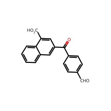 O=Cc1ccc(C(=O)c2cc(C(=O)O)c3ccccc3c2)cc1